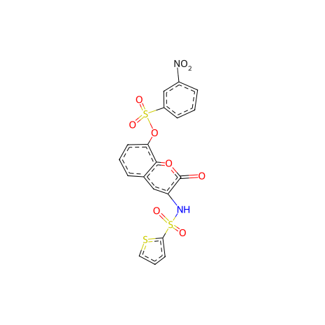 O=c1oc2c(OS(=O)(=O)c3cccc([N+](=O)[O-])c3)cccc2cc1NS(=O)(=O)c1cccs1